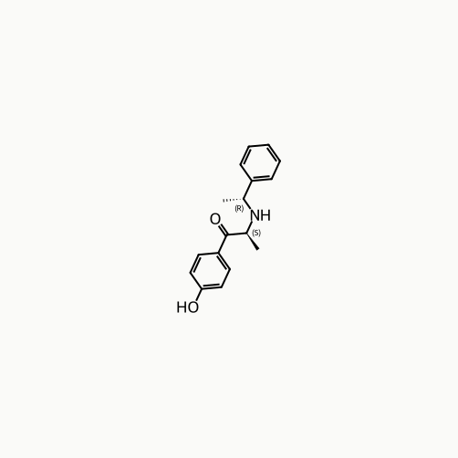 C[C@H](N[C@H](C)c1ccccc1)C(=O)c1ccc(O)cc1